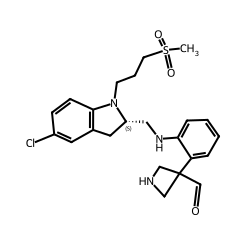 CS(=O)(=O)CCCN1c2ccc(Cl)cc2C[C@H]1CNc1ccccc1C1(C=O)CNC1